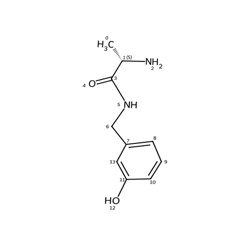 C[C@H](N)C(=O)NCc1cccc(O)c1